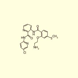 CSc1ccc(C(=O)Nc2cccnc2C(=O)Nc2ccc(Cl)cn2)c(OCCN)c1